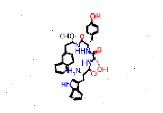 N[C@@H](Cc1c[nH]c2ccccc12)C(=O)N[C@@H](CO)C(=O)N[C@@H](Cc1ccc(O)cc1)C(=O)N[C@@H]([C]=O)Cc1ccc2ccccc2c1